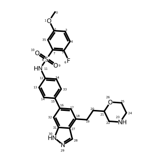 COc1ccc(F)c(S(=O)(=O)Nc2ccc(-c3cc(CCC4CNCCO4)c4cn[nH]c4c3)cc2)c1